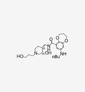 CCCCNc1cc2c(c(C(=O)NC[C@@H]3CCN(CCCO)C[C@H]3O)c1)OCCCO2